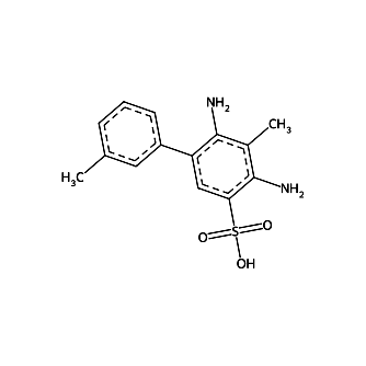 Cc1cccc(-c2cc(S(=O)(=O)O)c(N)c(C)c2N)c1